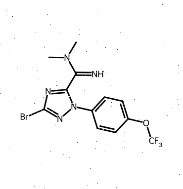 CN(C)C(=N)c1nc(Br)nn1-c1ccc(OC(F)(F)F)cc1